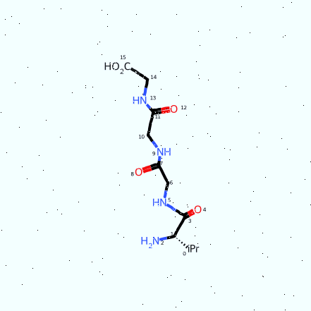 CC(C)[C@H](N)C(=O)NCC(=O)NCC(=O)NCC(=O)O